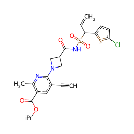 C#Cc1cc(C(=O)OC(C)C)c(C)nc1N1CC(C(=O)NS(=O)(=O)C(C=C)c2ccc(Cl)s2)C1